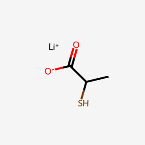 CC(S)C(=O)[O-].[Li+]